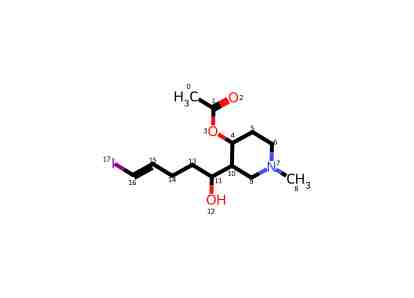 CC(=O)OC1CCN(C)CC1C(O)CCC=CI